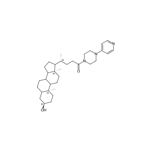 C[C@H](CCC(=O)N1CCN(c2ccncc2)CC1)C1CCC2C3CCC4C[C@H](O)CC[C@]4(C)C3CC[C@@]21C